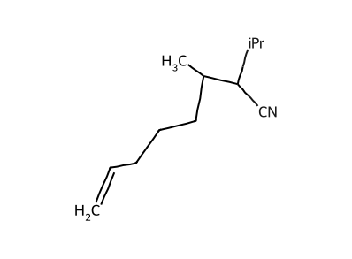 C=CCCCC(C)C(C#N)C(C)C